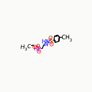 CCOO[PH](=O)C/C=N/NS(=O)(=O)c1ccc(C)cc1